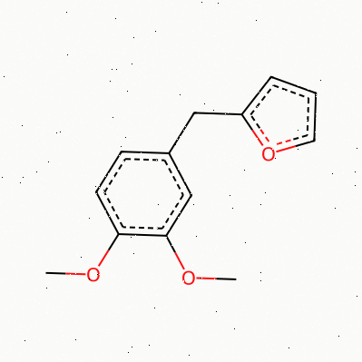 COc1ccc(Cc2ccco2)cc1OC